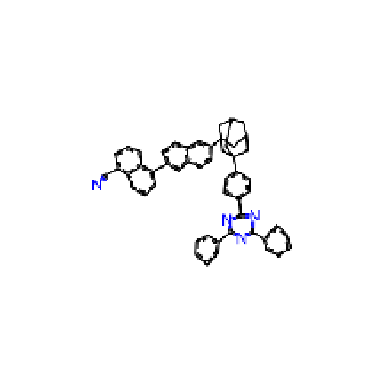 N#Cc1cccc2c(-c3ccc4cc(C56CC7CC(CC(c8ccc(-c9nc(-c%10ccccc%10)nc(-c%10ccccc%10)n9)cc8)(C7)C5)C6)ccc4c3)cccc12